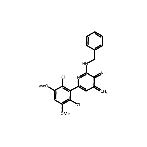 C=C1C=C(c2c(Cl)c(OC)cc(OC)c2Cl)N=C(NCc2ccccc2)C1=N